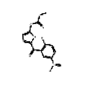 COC(=O)Oc1ccc(C(=O)c2cc([N+](=O)[O-])ccc2F)o1